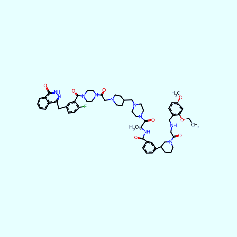 CCOc1cc(OC)ccc1CNCC(=O)N1CCCC(c2cccc(C(=O)N[C@@H](C)C(=O)N3CCN(CC4CCN(CC(=O)N5CCN(C(=O)c6cc(Cc7n[nH]c(=O)c8ccccc78)ccc6F)CC5)CC4)CC3)c2)C1